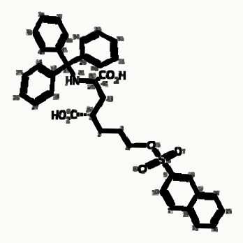 O=C(O)[C@@H](CCCOS(=O)(=O)c1ccc2ccccc2c1)C[C@H](NC(c1ccccc1)(c1ccccc1)c1ccccc1)C(=O)O